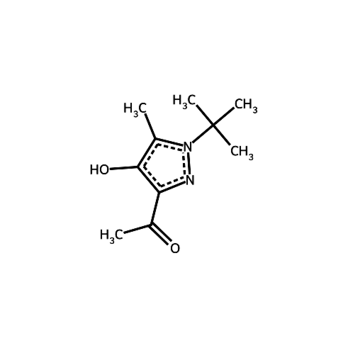 CC(=O)c1nn(C(C)(C)C)c(C)c1O